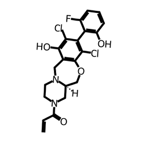 C=CC(=O)N1CCN2Cc3c(O)c(Cl)c(-c4c(O)cccc4F)c(Cl)c3OC[C@H]2C1